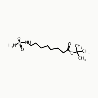 CC(C)(C)OC(=O)CCCCCCCNS(N)(=O)=O